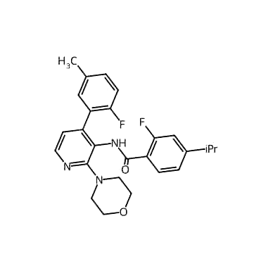 Cc1ccc(F)c(-c2ccnc(N3CCOCC3)c2NC(=O)c2ccc(C(C)C)cc2F)c1